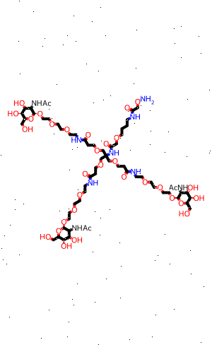 CC(=O)NC1C(O)[C@@H](O)C(CO)O[C@H]1OCCOCCOCCNC(=O)CCOCC(COCCC(=O)NCCOCCOCCO[C@@H]1OC(CO)[C@H](O)C(O)C1NC(C)=O)(COCCC(=O)NCCOCCOCCO[C@@H]1OC(CO)[C@H](O)C(O)C1NC(C)=O)NC(=O)COCCCCNC(=O)CON